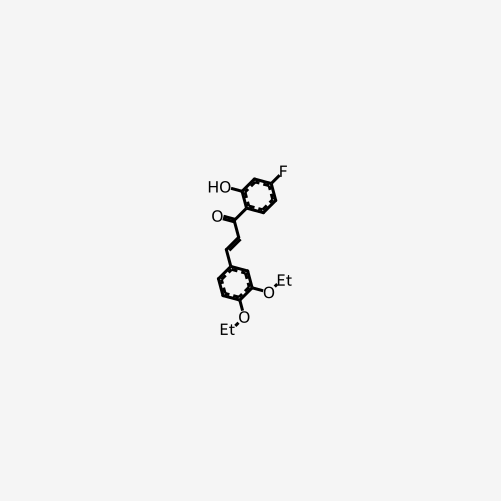 CCOc1ccc(/C=C/C(=O)c2ccc(F)cc2O)cc1OCC